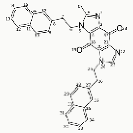 Cc1nc2c(n1CCc1ccc3ccccc3c1)C(=O)c1c(ncn1CCc1ccc3ccccc3c1)C2=O